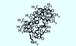 CC(C)C[C@H](NC(=O)[C@@H]1CCCN1C(=O)[C@@H](NC(=O)[C@@H]1CCCN1C(=O)[C@H](CCC(=O)O)NC(=O)[C@H](C)NC(=O)[C@H](C)NC(=O)[C@H](C)NC(=O)[C@@H](N)CC(C)C)C(C)C)C(=O)N[C@H](C(=O)N[C@@H](CCCCN)C(=O)N[C@@H](CCC(N)=O)C(=O)N[C@@H](CC(=O)O)C(=O)O)C(C)C